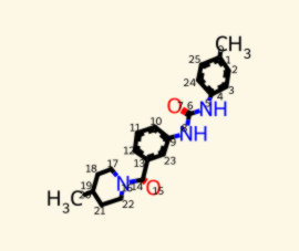 Cc1ccc(NC(=O)Nc2cccc(C(=O)N3CCC(C)CC3)c2)cc1